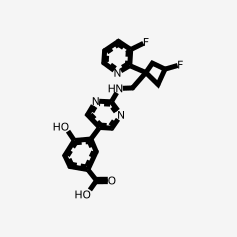 O=C(O)c1ccc(O)c(-c2cnc(NCC3(c4ncccc4F)CC(F)C3)nc2)c1